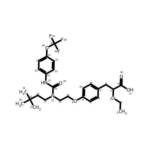 CCOC(Cc1ccc(OCCN(CCC(C)(C)C)C(=O)Nc2ccc(OC(F)(F)F)cc2)cc1)C(=O)O